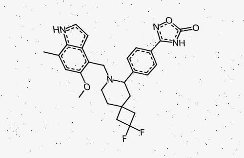 COc1cc(C)c2[nH]ccc2c1CN1CCC2(CC1c1ccc(-c3noc(=O)[nH]3)cc1)CC(F)(F)C2